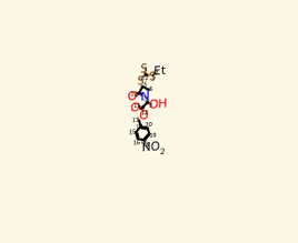 CCSC(=S)SC1CN(C(O)C(=O)OCc2ccc([N+](=O)[O-])cc2)C1=O